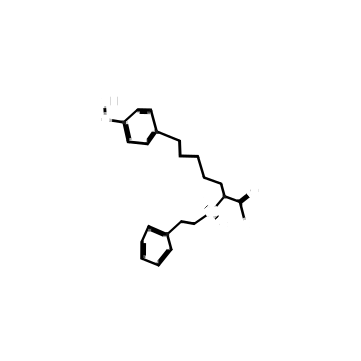 COc1ccc(CCCCCC(C(=O)O)S(=O)(=O)CCc2ccccc2)cc1